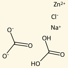 O=C(O)O.O=C([O-])[O-].[Cl-].[Na+].[Zn+2]